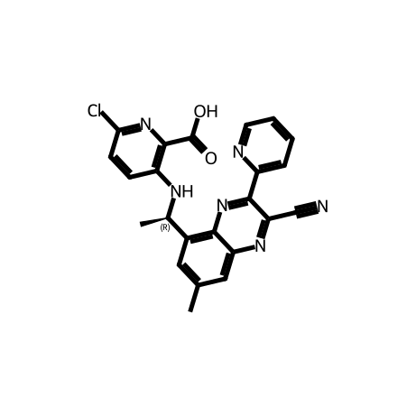 Cc1cc([C@@H](C)Nc2ccc(Cl)nc2C(=O)O)c2nc(-c3ccccn3)c(C#N)nc2c1